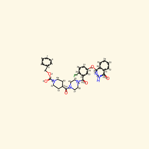 O=C(OCc1ccccc1)N1CCC(C(=O)N2CCN(C(=O)c3cc(Oc4n[nH]c(=O)c5ccccc45)ccc3F)CC2)CC1